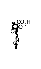 C=CCO/N=C/CCCC1=C(O)CC(C)(C)C(C(=O)O)C1=O